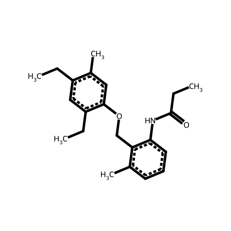 CCC(=O)Nc1cccc(C)c1COc1cc(C)c(CC)cc1CC